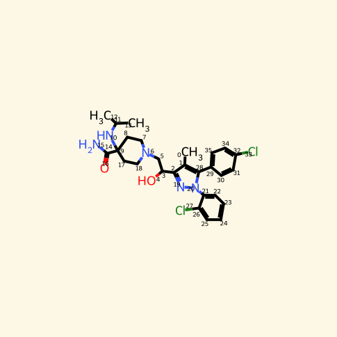 Cc1c(C(O)CN2CCC(NC(C)C)(C(N)=O)CC2)nn(-c2ccccc2Cl)c1-c1ccc(Cl)cc1